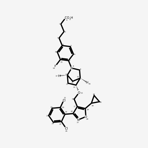 O=C(O)CCCc1ccc(N2C[C@@H]3C[C@H]2C[C@H]3OCc2c(-c3c(Cl)cccc3Cl)noc2C2CC2)c(F)c1